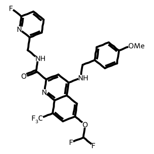 COc1ccc(CNc2cc(C(=O)NCc3cccc(F)n3)nc3c(C(F)(F)F)cc(OC(F)F)cc23)cc1